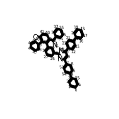 c1ccc(-c2ccc(-c3cc(-c4ccc(-c5ccccc5)cc4)nc(-c4cccc5c4nc(-c4ccccc4)c4ccc6oc7ccccc7c6c45)n3)cc2)cc1